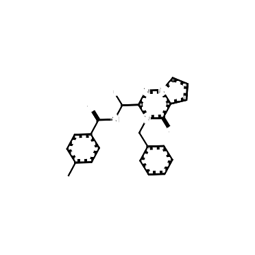 CCC(NC(=O)c1ccc(C)cc1)c1nn2cccc2c(=O)n1Cc1ccccc1